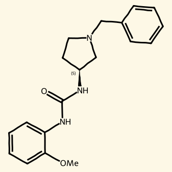 COc1ccccc1NC(=O)N[C@H]1CCN(Cc2ccccc2)C1